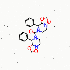 O=C(N1CCN2OCOC2C1c1ccccc1)N1CCN2OCOC2C1c1ccccc1